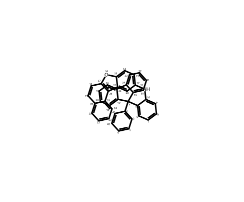 c1ccc(C2(c3ccccc3Nc3ccc4oc5ccc6ccccc6c5c4c3)c3ccccc3-c3ccccc32)cc1